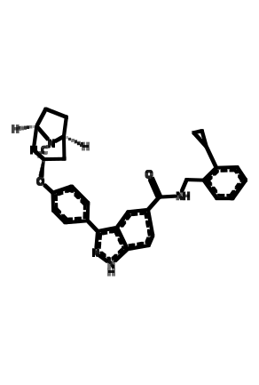 CN1[C@@H]2CC[C@H]1C[C@@H](Oc1ccc(-c3n[nH]c4ccc(C(=O)NCc5ccccc5C5CC5)cc34)cc1)C2